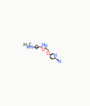 CNC12CC(c3nnc(COc4ccc(C#N)nc4)o3)(C1)C2